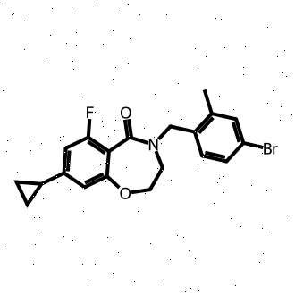 Cc1cc(Br)ccc1CN1CCOc2cc(C3CC3)cc(F)c2C1=O